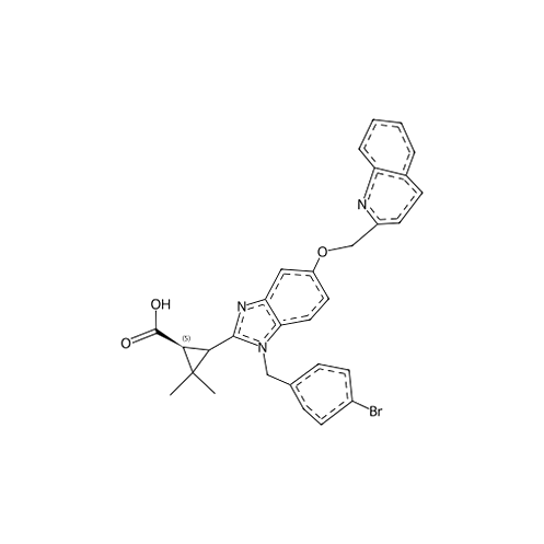 CC1(C)C(c2nc3cc(OCc4ccc5ccccc5n4)ccc3n2Cc2ccc(Br)cc2)[C@@H]1C(=O)O